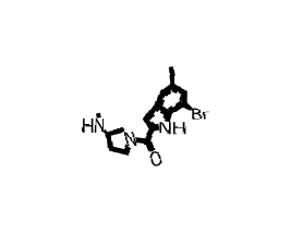 CN[C@@H]1CCN(C(=O)c2cc3cc(C)cc(Br)c3[nH]2)C1